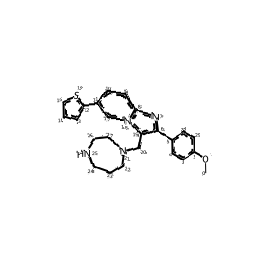 COc1ccc(-c2nc3ccc(-c4cccs4)cn3c2CN2CCCNCC2)cc1